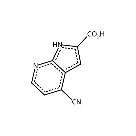 N#Cc1ccnc2[nH]c(C(=O)O)cc12